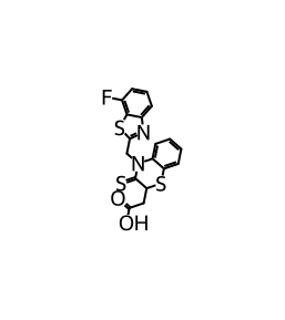 O=C(O)CC1Sc2ccccc2N(Cc2nc3cccc(F)c3s2)C1=S